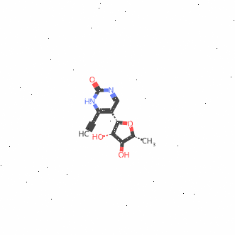 C#Cc1[nH]c(=O)ncc1[C@@H]1O[C@H](C)C(O)[C@@H]1O